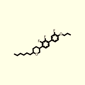 CCCCCCC1CCC(c2ccc(-c3ccc(OCCC)c(F)c3)c(F)c2F)CO1